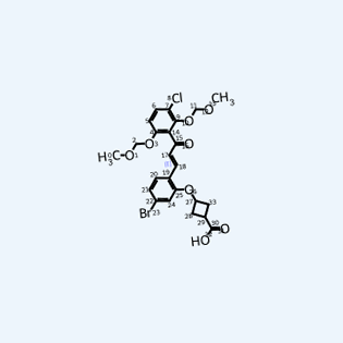 COCOc1ccc(Cl)c(OCOC)c1C(=O)/C=C/c1ccc(Br)cc1OC1CC(C(=O)O)C1